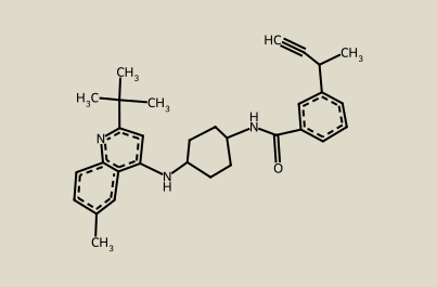 C#CC(C)c1cccc(C(=O)NC2CCC(Nc3cc(C(C)(C)C)nc4ccc(C)cc34)CC2)c1